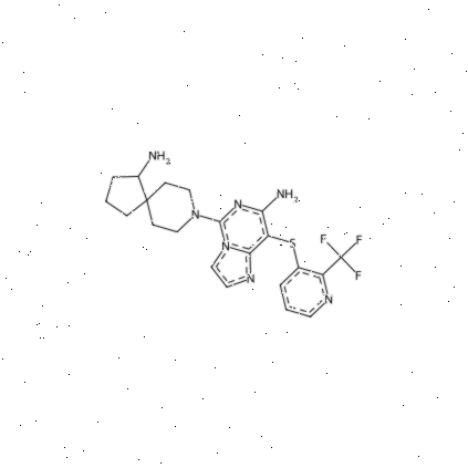 Nc1nc(N2CCC3(CCCC3N)CC2)n2ccnc2c1Sc1cccnc1C(F)(F)F